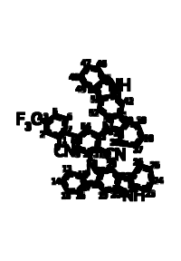 N#Cc1cc(C(F)(F)F)ccc1-c1cc(-n2c3ccccc3c3cc4[nH]c5ccccc5c4cc32)c(C#N)c(-n2c3ccccc3c3cc4[nH]c5ccccc5c4cc32)c1